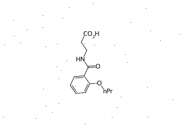 CCCOc1ccccc1C(=O)NCCC(=O)O